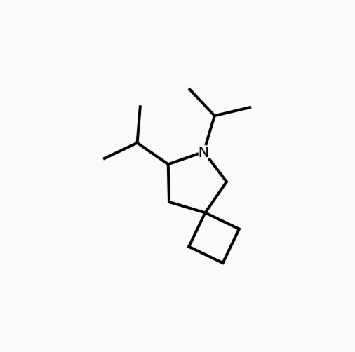 CC(C)C1CC2(CCC2)CN1C(C)C